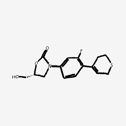 O=C1O[C@@H](CO)CN1c1ccc(C2=CCSCC2)c(F)c1